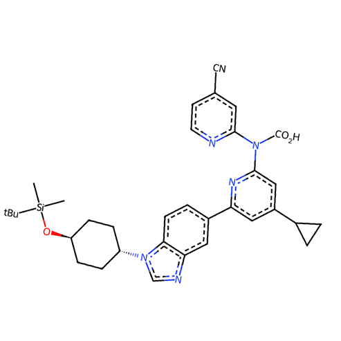 CC(C)(C)[Si](C)(C)O[C@H]1CC[C@H](n2cnc3cc(-c4cc(C5CC5)cc(N(C(=O)O)c5cc(C#N)ccn5)n4)ccc32)CC1